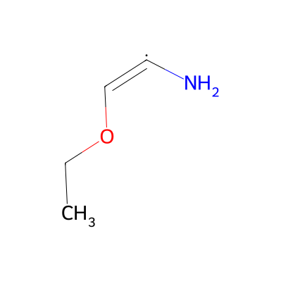 CCO/C=[C]\N